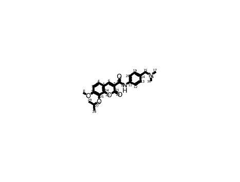 COc1ccc2cc(C(=O)Nc3ccc(CN(C)C)cc3)c(=O)oc2c1OC(C)C